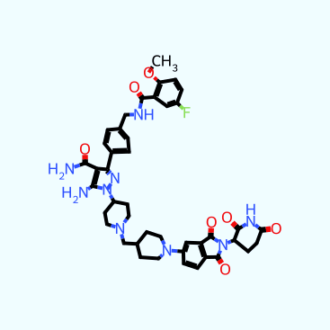 COc1ccc(F)cc1C(=O)NCc1ccc(-c2nn(C3CCN(CC4CCN(c5ccc6c(c5)C(=O)N(C5CCC(=O)NC5=O)C6=O)CC4)CC3)c(N)c2C(N)=O)cc1